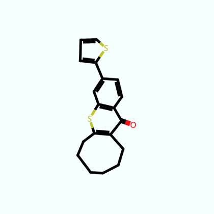 O=c1c2c(sc3cc(-c4cccs4)ccc13)CCCCCC2